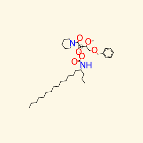 CCCCCCCCCCCCCCC(CCC)NC(=O)OO[C@H](C(=O)N1CCCCC1)C(COCc1ccccc1)OC